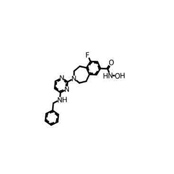 O=C(NO)c1cc(F)c2c(c1)CCN(c1nccc(NCc3ccccc3)n1)CC2